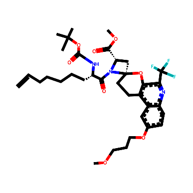 C=CCCCCC[C@H](NC(=O)OC(C)(C)C)C(=O)N1[C@H](C(=O)OC)C[C@]12CCc1c(c(C(F)(F)F)nc3ccc(OCCCOC)cc13)O2